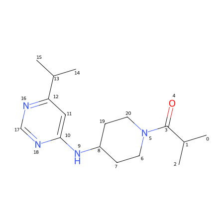 CC(C)C(=O)N1CCC(Nc2cc(C(C)C)ncn2)CC1